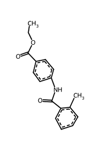 CCOC(=O)c1ccc(NC(=O)c2ccccc2C)cc1